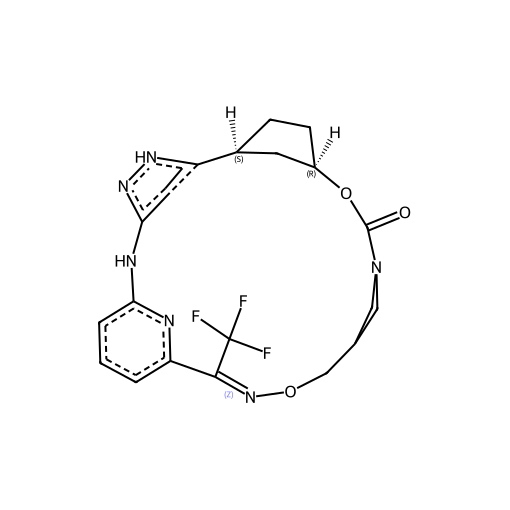 O=C1O[C@@H]2CC[C@@H](C2)c2cc(n[nH]2)Nc2cccc(n2)/C(C(F)(F)F)=N/OCC2CN1C2